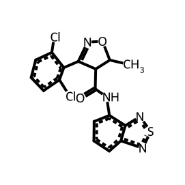 CC1ON=C(c2c(Cl)cccc2Cl)C1C(=O)Nc1cccc2nsnc12